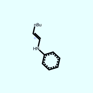 [CH2]CCC/C=C/Nc1ccccc1